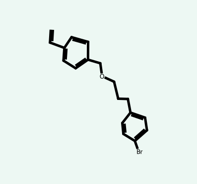 C=Cc1ccc(COCCCc2ccc(Br)cc2)cc1